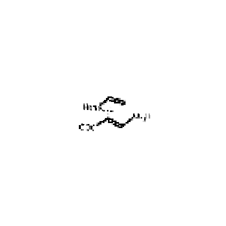 C=CC(=O)O.O=C([O-])C=CC(=O)O.[Na+]